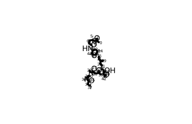 CC(=O)O[C@@H](C)/C=C\C(=O)N[C@@H]1C[C@H](C)[C@H](C/C=C(C)/C=C/[C@H]2OC(CC(=O)N(C)CCN(C)C(=O)CI)C[C@]3(O[C@@H]3C)C2O)O[C@@H]1C